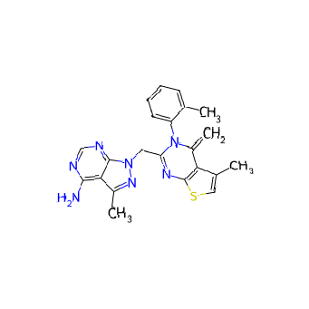 C=C1c2c(C)csc2N=C(Cn2nc(C)c3c(N)ncnc32)N1c1ccccc1C